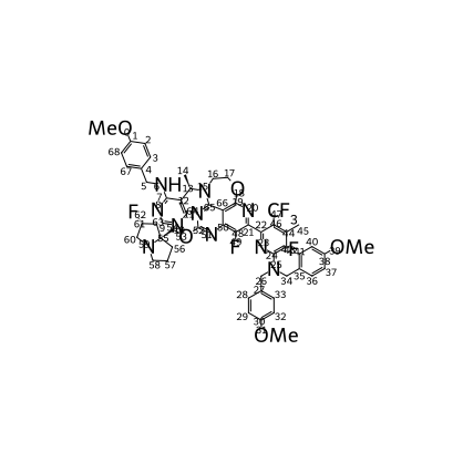 COc1ccc(CNc2ncncc2[C@@H](C)N2CCOc3nc(-c4nc(N(Cc5ccc(OC)cc5)Cc5ccc(OC)cc5)c(F)c(C)c4C(F)(F)F)c(F)c4nc(OC[C@@]56CCCN5C[C@H](F)C6)nc2c34)cc1